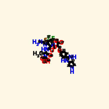 C[C@H]1[C@H](NC(=O)C(=NOC(COc2ccc(C(=N)NC3CCNC3)cc2)C(=O)O)c2nc(N)sc2C(F)(F)F)C(=O)N1S(=O)(=O)O